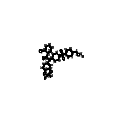 CCc1ccc(S(=O)(=O)N2CCC(N(C(=S)c3ccccc3Cl)c3ccc4c(c3)OC(F)(F)O4)CC2)cc1